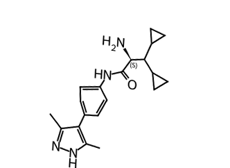 Cc1n[nH]c(C)c1-c1ccc(NC(=O)[C@@H](N)C(C2CC2)C2CC2)cc1